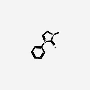 CN1CC=S(c2ccccc2)C1=S